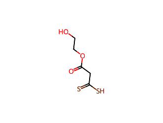 O=C(CC(=S)S)OCCO